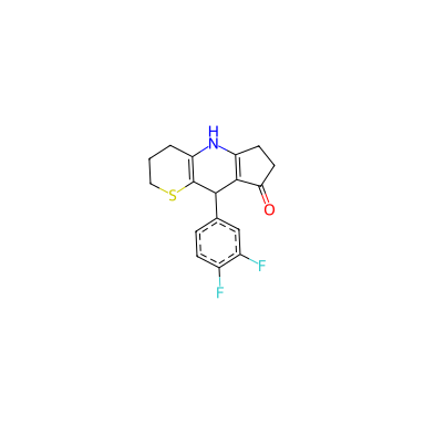 O=C1CCC2=C1C(c1ccc(F)c(F)c1)C1=C(CCCS1)N2